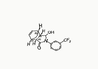 O=C1[C@H]2[C@@H](C(O)N1c1cccc(C(F)(F)F)c1)[C@H]1C=C[C@@H]2CC1